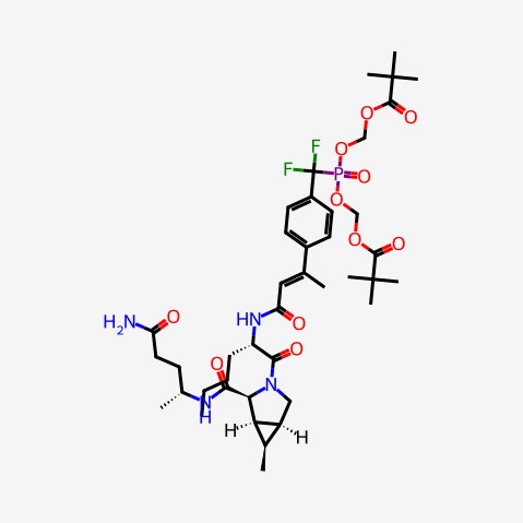 CCCC[C@H](NC(=O)/C=C(\C)c1ccc(C(F)(F)P(=O)(OCOC(=O)C(C)(C)C)OCOC(=O)C(C)(C)C)cc1)C(=O)N1C[C@H]2[C@@H](C)[C@H]2[C@H]1C(=O)N[C@H](C)CCC(N)=O